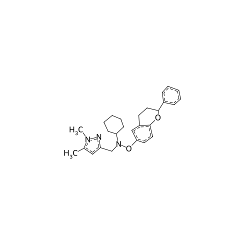 Cc1cc(CN(Oc2ccc3c(c2)CCC(c2ccccc2)O3)C2CCCCC2)nn1C